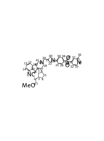 COCC[C@@H]1CCC[C@H]1C(C#N)(c1ccccc1)C1CCN(CC2CN(c3ccc(S(=O)(=O)c4ccnc(C)c4)cc3)C2)CC1